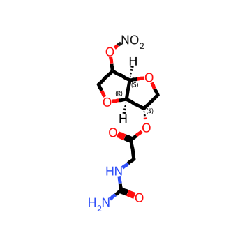 NC(=O)NCC(=O)O[C@H]1CO[C@@H]2C(O[N+](=O)[O-])CO[C@H]12